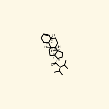 CC(C)N(C(=O)[C@H]1CC[C@H]2[C@@H]3CC[C@H]4C=CCC[C@]4(C)[C@H]3CC[C@]12C)C(C)C